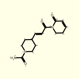 NC(=O)N1CCC(C=CC(=O)N2CCC=CC2=O)CC1